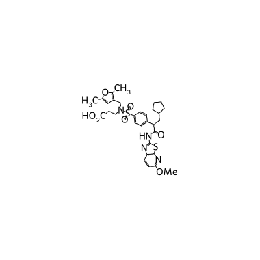 COc1ccc2nc(NC(=O)[C@H](CC3CCCC3)c3ccc(S(=O)(=O)N(CCC(=O)O)Cc4cc(C)oc4C)cc3)sc2n1